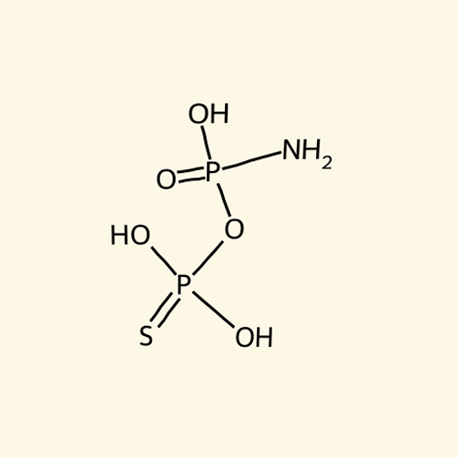 NP(=O)(O)OP(O)(O)=S